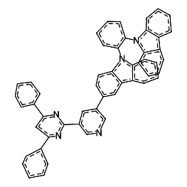 c1ccc(-c2cc(-c3ccccc3)nc(-c3cncc(-c4ccc5c(c4)c4ccccc4n5-c4ccccc4-n4c5ccccc5c5ccccc54)c3)n2)cc1